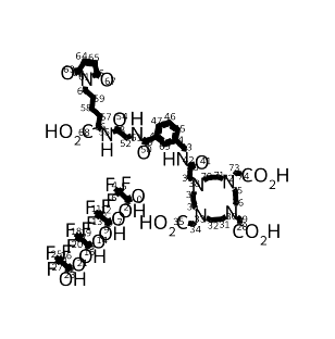 O=C(O)C(F)(F)F.O=C(O)C(F)(F)F.O=C(O)C(F)(F)F.O=C(O)C(F)(F)F.O=C(O)CN1CCN(CC(=O)O)CCN(CC(=O)NCc2cccc(C(=O)NCC(=O)N[C@@H](CCCCN3C(=O)C=CC3=O)C(=O)O)c2)CCN(CC(=O)O)CC1